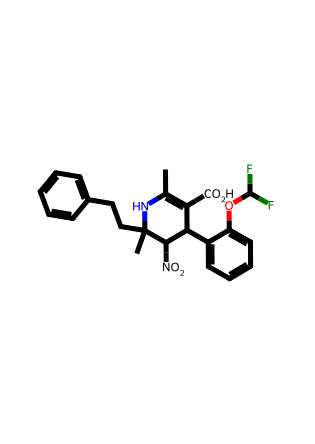 CC1=C(C(=O)O)C(c2ccccc2OC(F)F)C([N+](=O)[O-])C(C)(CCc2ccccc2)N1